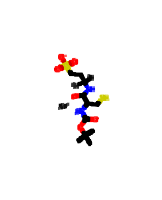 [2H]C([2H])(CCS(=O)(=O)[O-])NC(=O)C(CS)NC(=O)OC(C)(C)C.[Na+]